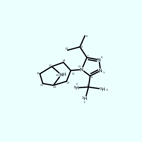 [2H]C([2H])([2H])c1nnc(C(C)C)n1C1CC2CCC(C1)N2